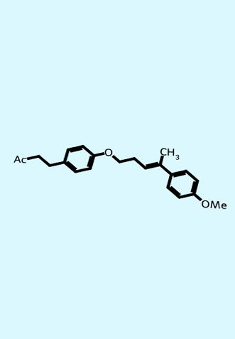 COc1ccc(C(C)=CCCOc2ccc(CCC(C)=O)cc2)cc1